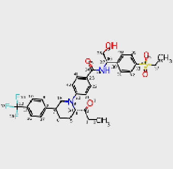 CCC(=O)[C@@H]1CCC(c2ccc(C(F)(F)F)cc2)CN1c1ccc(C(=O)N[C@@H](CO)c2ccc(S(=O)(=O)CC)cc2)cc1